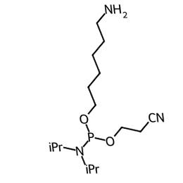 CC(C)N(C(C)C)P(OCCC#N)OCCCCCCN